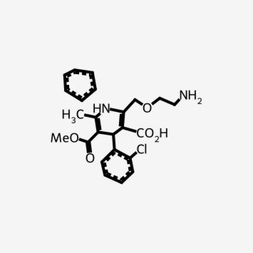 COC(=O)C1=C(C)NC(COCCN)=C(C(=O)O)C1c1ccccc1Cl.c1ccccc1